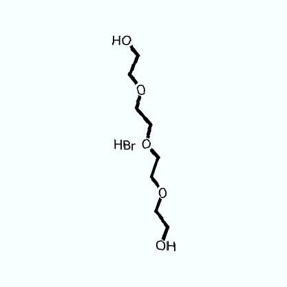 Br.OCCOCCOCCOCCO